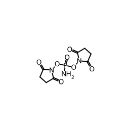 NP(=O)(ON1C(=O)CCC1=O)ON1C(=O)CCC1=O